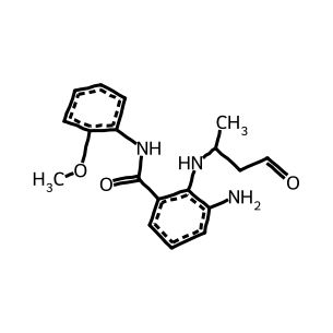 COc1ccccc1NC(=O)c1cccc(N)c1NC(C)CC=O